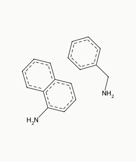 NCc1ccccc1.Nc1cccc2ccccc12